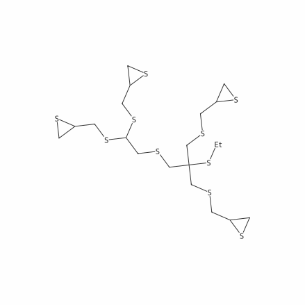 CCSC(CSCC1CS1)(CSCC1CS1)CSCC(SCC1CS1)SCC1CS1